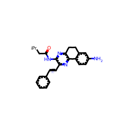 CC(C)CC(=O)Nc1nc2c(nc1/C=C/c1ccccc1)-c1ccc(N)cc1CC2